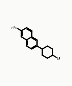 CCCc1ccc2cc(C3CCC(CC)CC3)ccc2c1